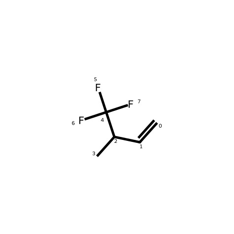 C=CC(C)C(F)(F)F